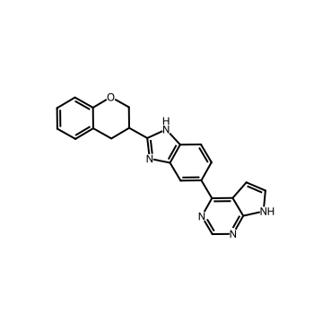 c1ccc2c(c1)CC(c1nc3cc(-c4ncnc5[nH]ccc45)ccc3[nH]1)CO2